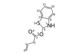 C=CCC(=O)OC1Nc2ccccc2S1